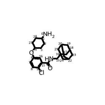 NC1CCC(Oc2ccc(Cl)c(C(=O)NCC34CC5CC(CC(C5)C3)C4)c2)CC1